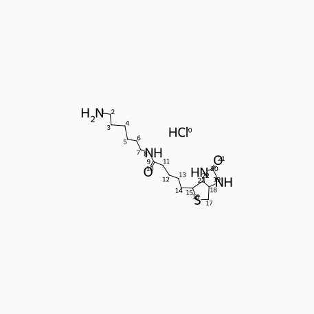 Cl.NCCCCCCNC(=O)CCCCC1SCC2NC(=O)NC21